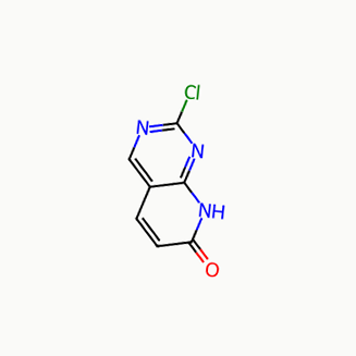 O=c1ccc2cnc(Cl)nc2[nH]1